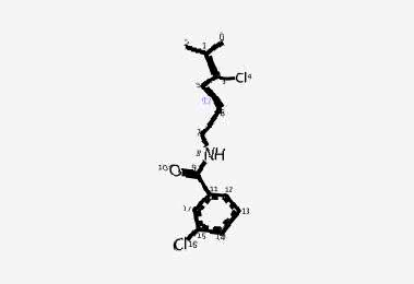 CC(C)=C(Cl)/C=C/CNC(=O)c1cccc(Cl)c1